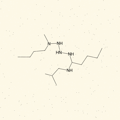 CCCCC(NCC(C)C)NNNN(C)CCCC